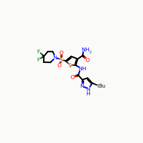 CC(C)(C)c1cc(C(=O)Nc2sc(S(=O)(=O)N3CCC(F)(F)CC3)cc2C(N)=O)n[nH]1